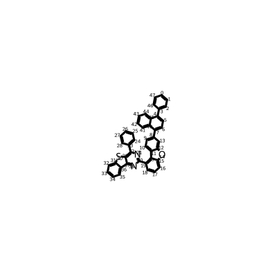 c1ccc(-c2ccc(-c3ccc4c(c3)oc3cccc(-c5nc(-c6ccccc6)c6sc7ccccc7c6n5)c34)c3ccccc23)cc1